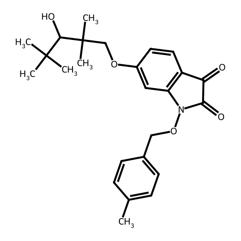 Cc1ccc(CON2C(=O)C(=O)c3ccc(OCC(C)(C)C(O)C(C)(C)C)cc32)cc1